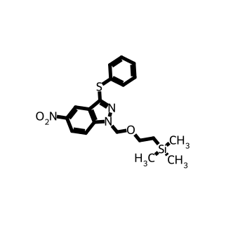 C[Si](C)(C)CCOCn1nc(Sc2ccccc2)c2cc([N+](=O)[O-])ccc21